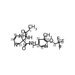 CCC(=O)NC1(C(=O)NCc2cnc(OCC(F)(F)F)c(C)c2)C=NC=CN1